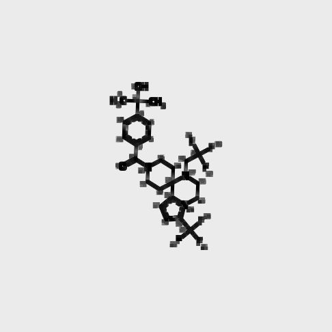 CC(C)(O)c1ccc(C(=O)N2CCC3(CC2)c2ccc(C(F)(F)F)n2CCN3CC(F)(F)F)cc1